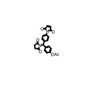 CC(=O)Oc1ccc(C(c2ccc(N3C(=O)C=CC3=O)cc2)N2C(=O)CCC2=O)cc1